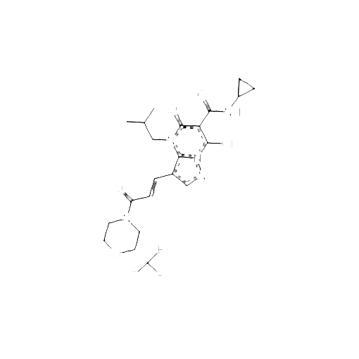 CC(C)Cn1c(=O)c(C(=O)NC2CC2)c(O)n2ncc(/C=C/C(=O)N3CCO[C@@H](C(F)(F)F)C3)c12